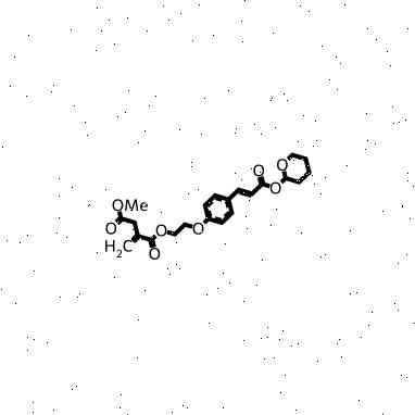 C=C(CC(=O)OC)C(=O)OCCOc1ccc(/C=C/C(=O)OC2CCCCO2)cc1